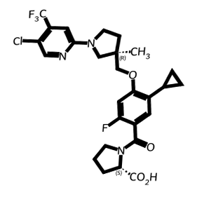 C[C@@]1(COc2cc(F)c(C(=O)N3CCC[C@H]3C(=O)O)cc2C2CC2)CCN(c2cc(C(F)(F)F)c(Cl)cn2)C1